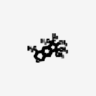 CC1C(C)(C)c2cc3c(cc2C1(C)C)[C@H](C)COC3